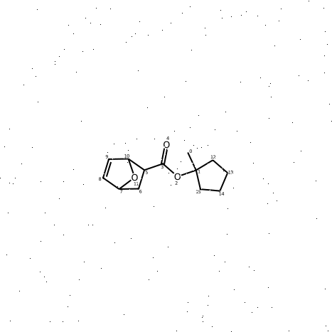 CC1(OC(=O)C2CC3C=CC2O3)CCCC1